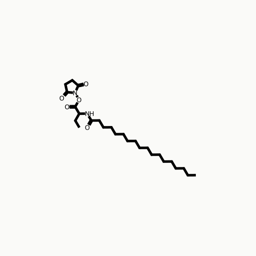 CCCCCCCCCCCCCCCCCC(=O)NC(CC)C(=O)ON1C(=O)CCC1=O